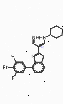 CCc1c(F)cc(-c2cccc3c2N=C(/C(C=N)=C/NC2CCCCC2)C3)cc1F